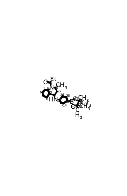 CCC(=O)N1c2ccccc2[C@H](Nc2ccc(B3OC(C)(C)C(C)(C)O3)cc2)C[C@@H]1C